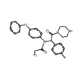 O=C(C(c1ccc(F)cc1)N(C(=O)CCl)c1ccc(Oc2ccccc2)cc1)N1CCNCC1